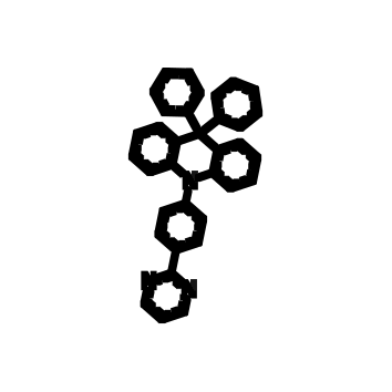 c1ccc(C2(c3ccccc3)c3ccccc3N(c3ccc(-c4ncccn4)cc3)c3ccccc32)cc1